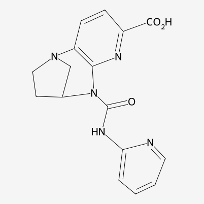 O=C(O)c1ccc2c(n1)N(C(=O)Nc1ccccn1)C1CCN2C1